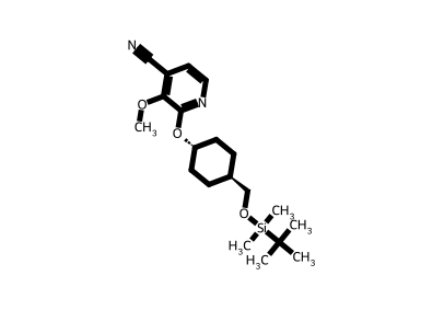 COc1c(C#N)ccnc1O[C@H]1CC[C@H](CO[Si](C)(C)C(C)(C)C)CC1